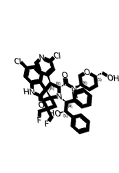 O=C(N[C@@H]1CC[C@@H](CO)OC1)[C@H]1[C@H](c2ccnc(Cl)c2)[C@@]2(C(=O)Nc3cc(Cl)ccc32)C2(CC(CF)(CF)C2)N1[C@H](c1ccccc1)[C@@H](O)c1ccccc1